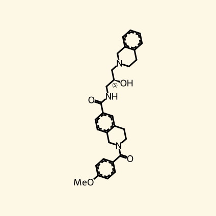 COc1ccc(C(=O)N2CCc3cc(C(=O)NC[C@H](O)CN4CCc5ccccc5C4)ccc3C2)cc1